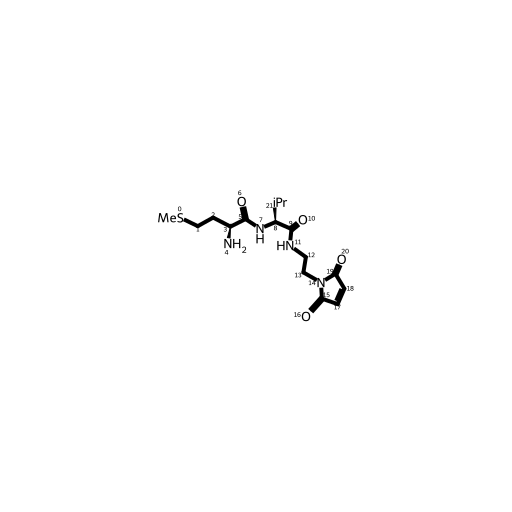 CSCC[C@H](N)C(=O)N[C@H](C(=O)NCCN1C(=O)C=CC1=O)C(C)C